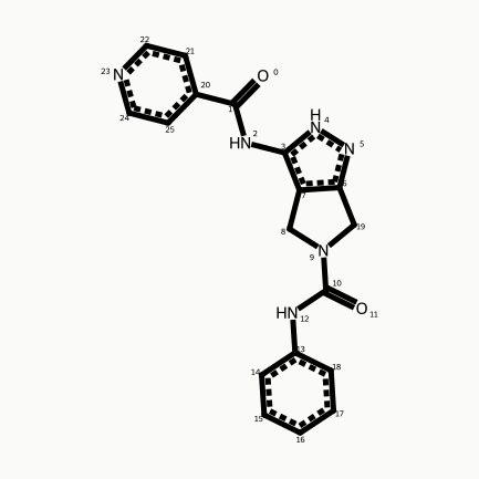 O=C(Nc1[nH]nc2c1CN(C(=O)Nc1ccccc1)C2)c1ccncc1